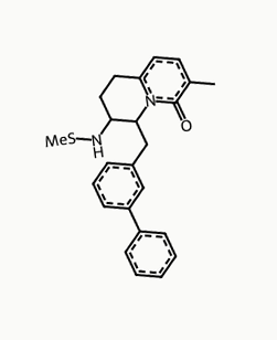 CSNC1CCc2ccc(C)c(=O)n2C1Cc1cccc(-c2ccccc2)c1